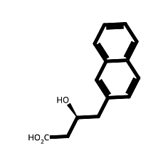 O=C(O)C[C@@H](O)Cc1ccc2ccccc2c1